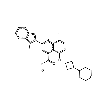 Cc1c(-c2cc(C(=O)N=O)c3c(O[C@H]4C[C@H](C5CCOCC5)C4)ccc(C)c3n2)oc2ccccc12